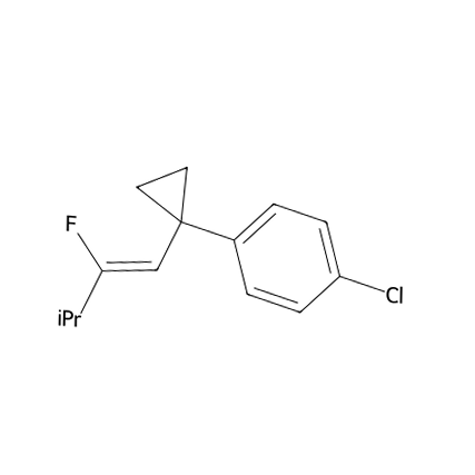 CC(C)/C(F)=C/C1(c2ccc(Cl)cc2)CC1